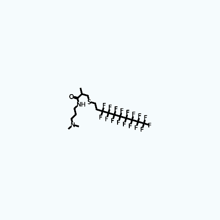 CC(CSCCC(F)(F)C(F)(F)C(F)(F)C(F)(F)C(F)(F)C(F)(F)C(F)(F)C(F)(F)F)C(=O)NCCCN(C)C